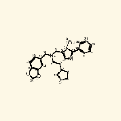 CCCCn1c(CN(CCC2CCCC2)Cc2ccc3c(c2)OCO3)cnc1-c1ccccc1